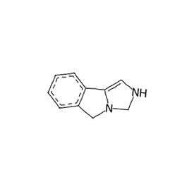 C1=C2c3ccccc3CN2CN1